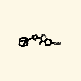 COc1ccc(C(=O)N(N)c2nc(C3C4CC5CC(C4)CC3C5)cs2)cc1